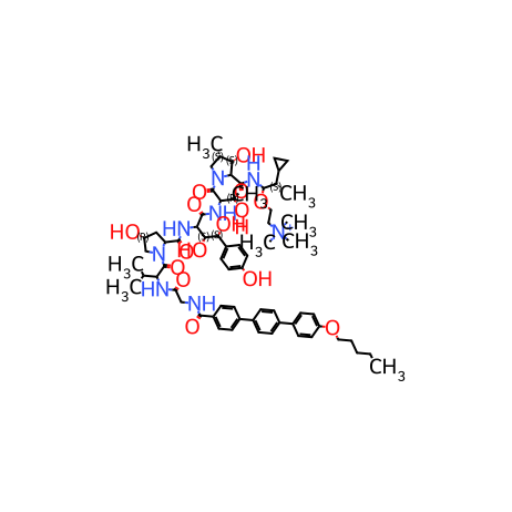 CCCCCOc1ccc(-c2ccc(-c3ccc(C(=O)NCC(=O)NC(C(=O)N4C[C@H](O)CC4C(=O)NC(C(=O)NC(C(=O)N4C[C@H](C)[C@H](O)C4C(=O)NC(OCC[N+](C)(C)C)[C@@H](C)C4CC4)[C@@H](C)O)[C@H](O)[C@@H](O)c4ccc(O)cc4)C(C)C)cc3)cc2)cc1